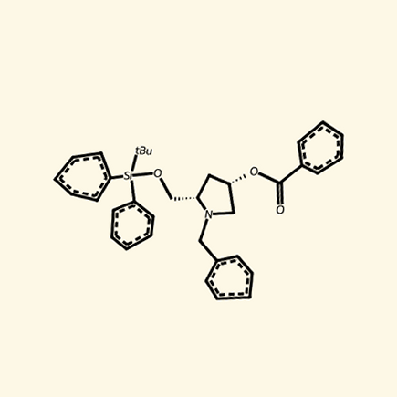 CC(C)(C)[Si](OC[C@@H]1C[C@H](OC(=O)c2ccccc2)CN1Cc1ccccc1)(c1ccccc1)c1ccccc1